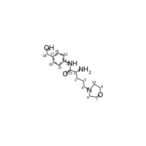 NC(CCCN1CCOCC1)C(=O)Nc1ccc(CO)cc1